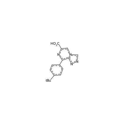 CC(C)(C)c1ccc(-c2nc(C(=O)O)cn3cnnc23)cc1